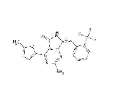 Cc1ccc(-c2nc(N)nc3c2C(=O)N/C3=C/c2ccccc2C(F)(F)F)o1